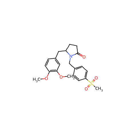 COc1ccc(CC2CCC(=O)N2Cc2ccc(S(C)(=O)=O)cc2)cc1OC